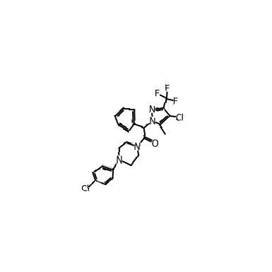 Cc1c(Cl)c(C(F)(F)F)nn1C(C(=O)N1CCN(c2ccc(Cl)cc2)CC1)c1ccccc1